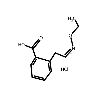 CCO/N=C\Cc1ccccc1C(=O)O.Cl